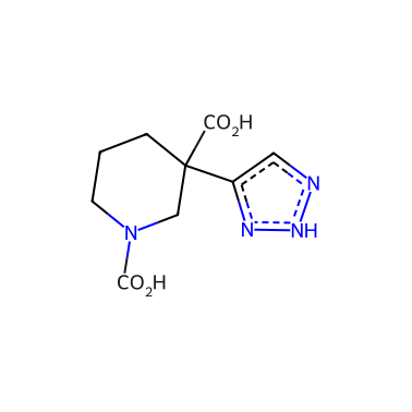 O=C(O)N1CCCC(C(=O)O)(c2cn[nH]n2)C1